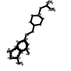 CC(C)CN1CCC(COc2cc(F)c3c(N)n[nH]c3c2)CC1